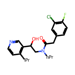 CCCN(CC(O)c1cnccc1C(C)C)C(=O)Cc1ccc(F)c(Cl)c1